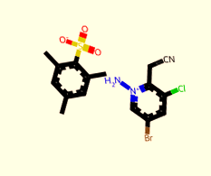 Cc1cc(C)c(S(=O)(=O)[O-])c(C)c1.N#CCc1c(Cl)cc(Br)c[n+]1N